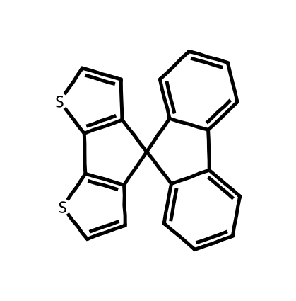 c1ccc2c(c1)-c1ccccc1C21c2ccsc2-c2sccc21